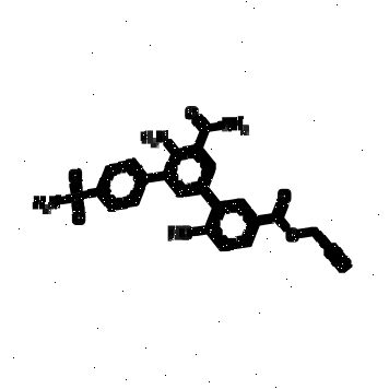 C#CCOC(=O)c1ccc(O)c(-c2cc(C(N)=O)c(N)c(-c3ccc(S(N)(=O)=O)cc3)c2)c1